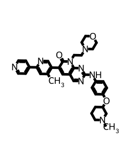 Cc1cc(-c2ccncc2)ncc1-c1cc2cnc(Nc3ccc(OC4CCCN(C)C4)cc3)nc2n(CCN2CCOCC2)c1=O